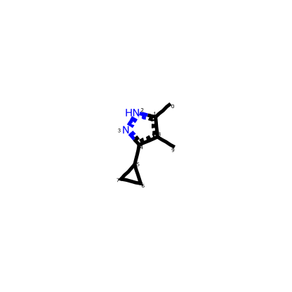 Cc1[nH]nc(C2CC2)c1C